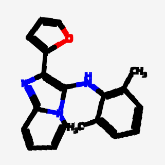 Cc1cccc(C)c1Nc1c(-c2ccco2)nc2ccccn12